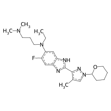 CCN(CCCN(C)C)c1cc2[nH]c(-c3nn(C4CCCCO4)cc3C)nc2cc1F